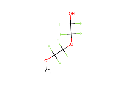 OC(F)(F)C(F)(F)OC(F)(F)C(F)(F)OC(F)(F)F